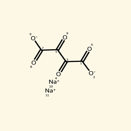 O=C([O-])C(=O)C(=O)C(=O)[O-].[Na+].[Na+]